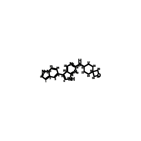 c1cc2cc(-c3c[nH]c4nc(NC5CCC6(CC5)COC6)ncc34)ccn2n1